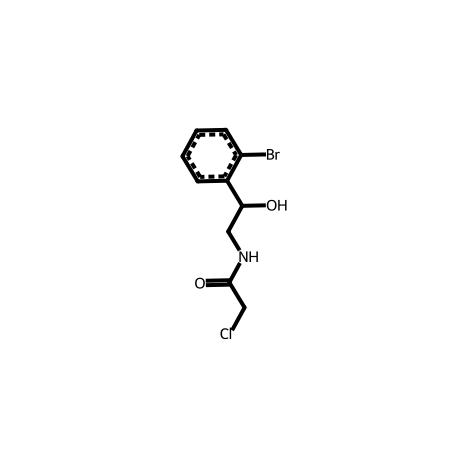 O=C(CCl)NCC(O)c1ccccc1Br